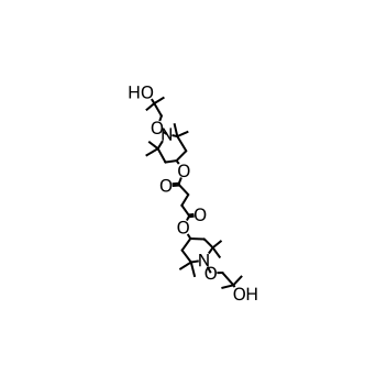 CC(C)(O)CON1C(C)(C)CC(OC(=O)CCC(=O)OC2CC(C)(C)N(OCC(C)(C)O)C(C)(C)C2)CC1(C)C